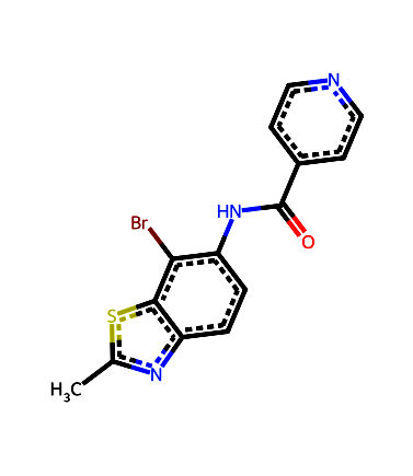 Cc1nc2ccc(NC(=O)c3ccncc3)c(Br)c2s1